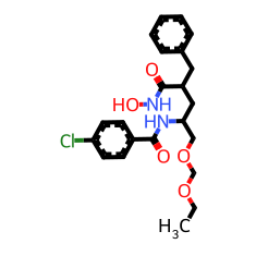 CCOCOCC(CC(Cc1ccccc1)C(=O)NO)NC(=O)c1ccc(Cl)cc1